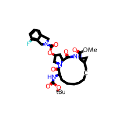 COC(=O)C12CC1CCCCCCCC(NC(=O)OC(C)(C)C)C(=O)N1CC(OC(=O)N3Cc4cccc(F)c4C3)CC1C(=O)N2